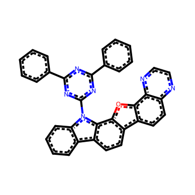 c1ccc(-c2nc(-c3ccccc3)nc(-n3c4ccccc4c4ccc5c6ccc7nccnc7c6oc5c43)n2)cc1